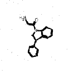 NCC(=O)N1CC(c2ccccc2)c2ccccc21